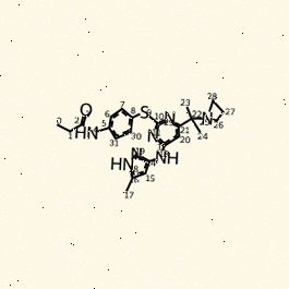 CCC(=O)Nc1ccc(Sc2nc(Nc3cc(C)[nH]n3)cc(C(C)(C)N3CCC3)n2)cc1